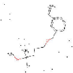 C=Cc1cccc(COCCCC(C)(C)O[SiH3])c1